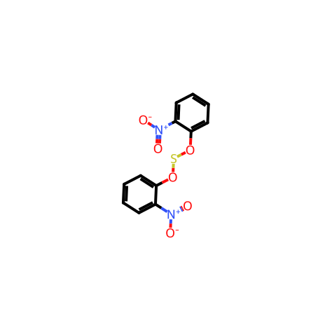 O=[N+]([O-])c1ccccc1OSOc1ccccc1[N+](=O)[O-]